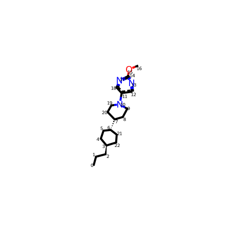 CCC[C@H]1CC[C@H](C2CCN(c3cnc(OC)nc3)CC2)CC1